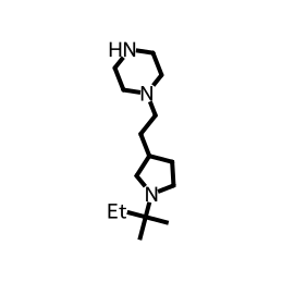 CCC(C)(C)N1CCC(CCN2CCNCC2)C1